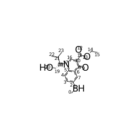 CBc1ccc2c(c1)c(=O)c(C(=O)OCC)cn2[C@H](CO)C(C)C